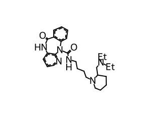 CCN(CC)CC1CCCCN1CCCCNC(=O)N1c2ccccc2C(=O)Nc2cccnc21